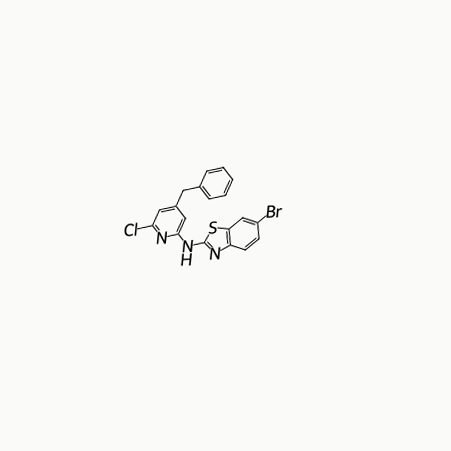 Clc1cc(Cc2ccccc2)cc(Nc2nc3ccc(Br)cc3s2)n1